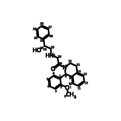 COc1ccccc1[C@@H]1c2ccccc2CCN1C(=O)CNC[C@H](O)c1ccccc1